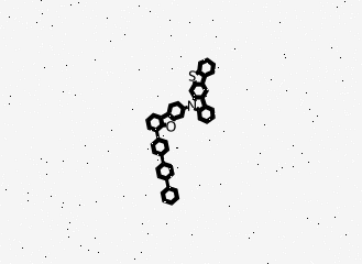 c1ccc(-c2ccc(-c3ccc(-c4cccc5c4oc4cc(-n6c7ccccc7c7cc8c(cc76)sc6ccccc68)ccc45)cc3)cc2)cc1